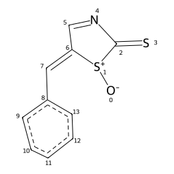 [O-][S+]1C(=S)N=CC1=Cc1ccccc1